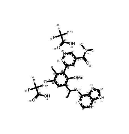 COc1c(C(C)Nc2ncnc3[nH]cnc23)cc(Cl)c(C)c1-c1cc(C(=O)N(C)C)cnn1.O=C(O)C(F)(F)F.O=C(O)C(F)(F)F